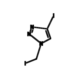 ICn1cc(I)nn1